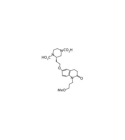 COCCCN1C(=O)CCc2cc(OCC[C@@H]3CN(C(=O)O)CCN3C(=O)O)ccc21